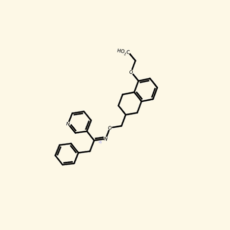 O=C(O)COc1cccc2c1CCC(CO/N=C(/Cc1ccccc1)c1cccnc1)C2